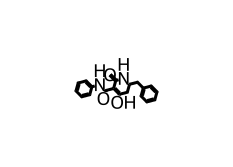 O=C(Nc1ccccc1)C1=C(O)CC(Cc2ccccc2)NC1=O